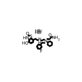 Br.Br.NC(=O)CC[N+](CCNCCc1ccc(O)c2[nH]c(=O)sc12)(CCc1cccc(F)c1)C1CCCCC1